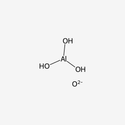 [O-2].[OH][Al]([OH])[OH]